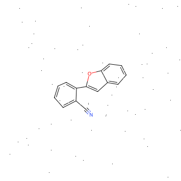 N#Cc1ccccc1-c1cc2ccccc2o1